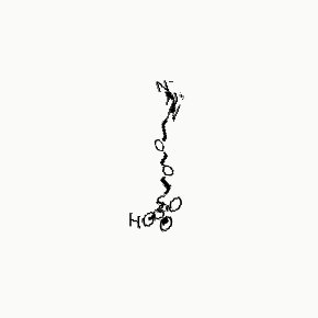 [N-]=[N+]=NCCOCCOCCSS(=O)(=O)O